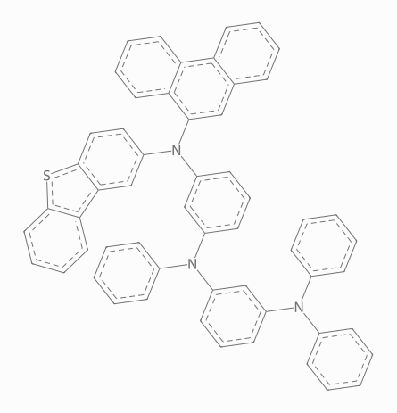 c1ccc(N(c2ccccc2)c2cccc(N(c3ccccc3)c3cccc(N(c4ccc5sc6ccccc6c5c4)c4cc5ccccc5c5ccccc45)c3)c2)cc1